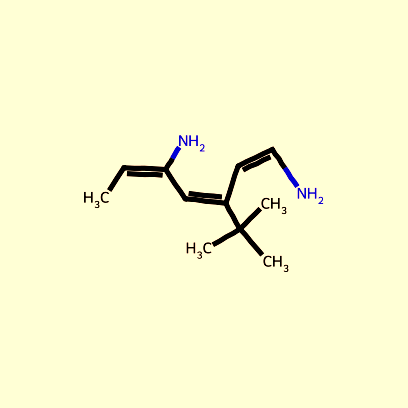 C\C=C(N)/C=C(\C=C/N)C(C)(C)C